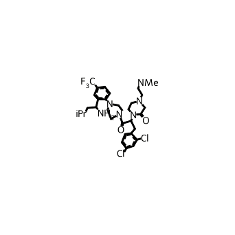 CNCCN1CCN(C(Cc2ccc(Cl)cc2Cl)C(=O)N2CCN(c3ccc(C(F)(F)F)cc3C(N)CC(C)C)CC2)C(=O)C1